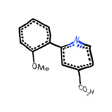 COc1ccccc1-c1cc(C(=O)O)ccn1